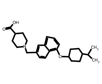 CC(C)C1CCC(Oc2cccc3cc(CN4CCC(C(=O)O)CC4)ccc23)CC1